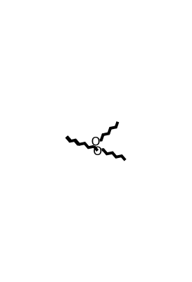 C=C/C=C/CCC(OCCCCCC)OCCCCCC